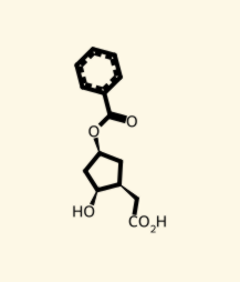 O=C(O)C[C@@H]1C[C@H](OC(=O)c2ccccc2)C[C@@H]1O